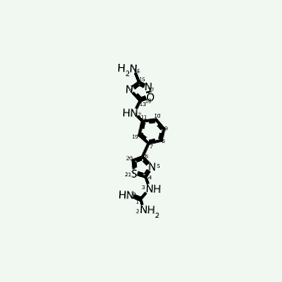 N=C(N)Nc1nc(-c2cccc(Nc3nc(N)no3)c2)cs1